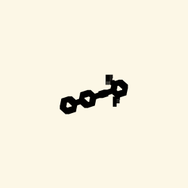 Fc1cccc(F)c1C#Cc1ccc(-c2ccccc2)cc1